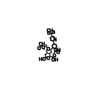 COC(=O)c1ccc(-c2cccc([C@@H]3O[C@@H](COC(C)=O)[C@H](CC(=O)O)[C@H](CC(=O)O)[C@H]3CC(=O)O)c2)nc1